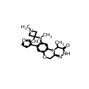 CC1C(=O)NN=C2COc3cc(-c4ccoc4)c(N(C)C4(C)CN(C)C4)cc3N21